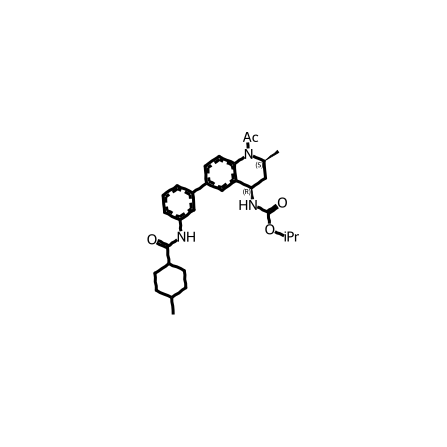 CC(=O)N1c2ccc(-c3cccc(NC(=O)C4CCC(C)CC4)c3)cc2[C@H](NC(=O)OC(C)C)C[C@@H]1C